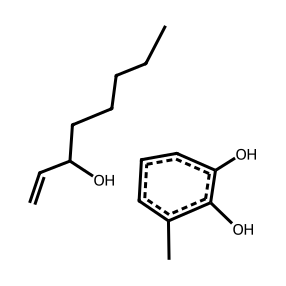 C=CC(O)CCCCC.Cc1cccc(O)c1O